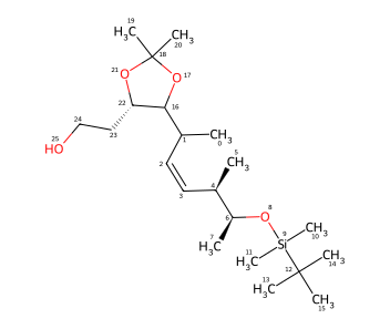 CC(/C=C\[C@@H](C)[C@H](C)O[Si](C)(C)C(C)(C)C)C1OC(C)(C)O[C@H]1CCO